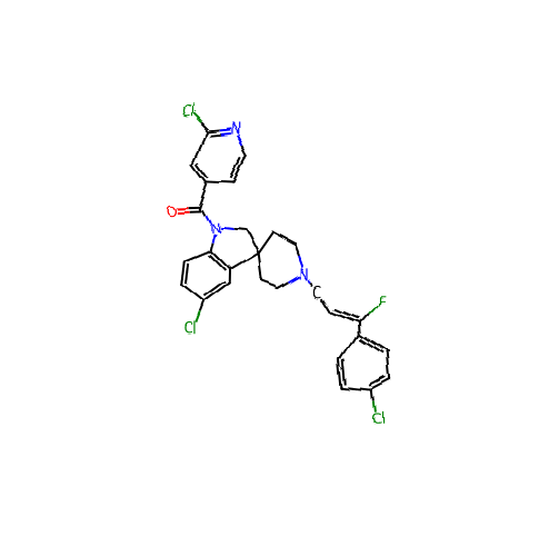 O=C(c1ccnc(Cl)c1)N1CC2(CCN(CC=C(F)c3ccc(Cl)cc3)CC2)c2cc(Cl)ccc21